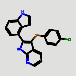 Clc1ccc(Sc2c(-c3cccc4[nH]ccc34)[nH]c3ncccc23)cc1